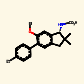 CCOc1cc2c(cc1-c1ccc(CC)cc1)CC(C)(C)[C@H]2NC(=O)O